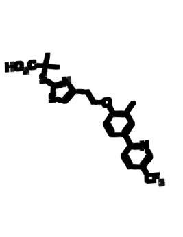 Cc1cc(-c2ccc(C(F)(F)F)cn2)ccc1OCCc1csc(SC(C)(C)C(=O)O)n1